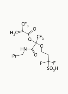 C=C(C(=O)OC(OCCC(F)(F)S(=O)(=O)O)(C(=O)NCC(C)C)C(F)(F)F)C(F)(F)F